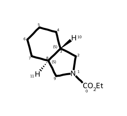 CCOC(=O)N1C[C@H]2CCCC[C@@H]2C1